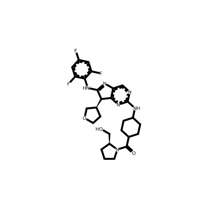 O=C(C1CCC(Nc2ncc3c(n2)C([C@H]2CCOC2)C(Nc2c(F)cc(F)cc2F)=N3)CC1)N1CCC[C@H]1CO